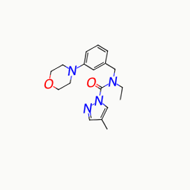 CCN(Cc1cccc(N2CCOCC2)c1)C(=O)n1cc(C)cn1